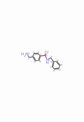 NCc1ccc(C(=O)NCc2ccccc2)cc1